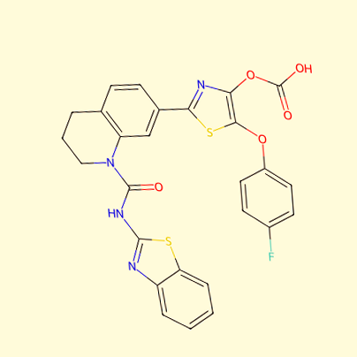 O=C(O)Oc1nc(-c2ccc3c(c2)N(C(=O)Nc2nc4ccccc4s2)CCC3)sc1Oc1ccc(F)cc1